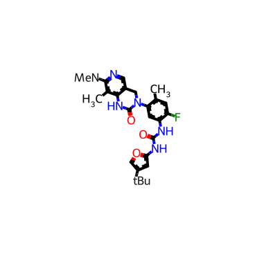 CNc1ncc2c(c1C)NC(=O)N(c1cc(NC(=O)Nc3cc(C(C)(C)C)co3)c(F)cc1C)C2